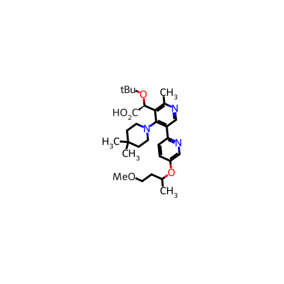 COCCC(C)Oc1ccc(-c2cnc(C)c([C@H](OC(C)(C)C)C(=O)O)c2N2CCC(C)(C)CC2)nc1